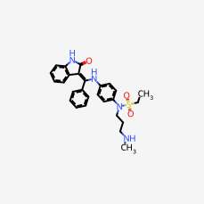 CCS(=O)(=O)N(CCCNC)c1ccc(N/C(=C2\C(=O)Nc3ccccc32)c2ccccc2)cc1